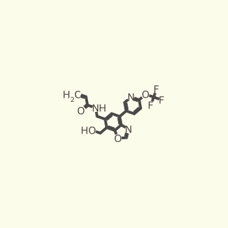 C=CC(=O)NCc1cc(-c2ccc(OC(F)(F)F)nc2)c2ncoc2c1CO